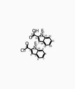 O=C(Cl)c1cc2ccccc2n1F.O=C(O)c1cc2ccccc2n1F